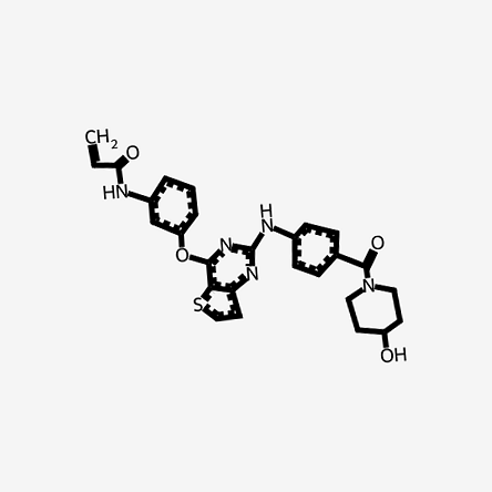 C=CC(=O)Nc1cccc(Oc2nc(Nc3ccc(C(=O)N4CCC(O)CC4)cc3)nc3ccsc23)c1